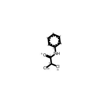 O=C(Nc1ccccc1)C(Cl)Cl